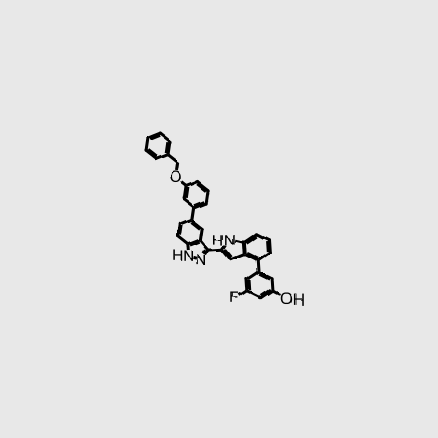 Oc1cc(F)cc(-c2cccc3[nH]c(-c4n[nH]c5ccc(-c6cccc(OCc7ccccc7)c6)cc45)cc23)c1